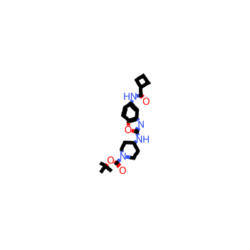 CC(C)(C)OC(=O)N1CCC(Nc2nc3cc(NC(=O)C4CCC4)ccc3o2)CC1